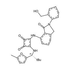 Cc1ccc([C@H](Nc2c(Nc3cccc4c3C(=O)N(c3ccccc3CO)C4)c(=O)c2=O)C(C)(C)C)o1